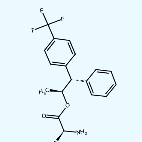 C[C@H](N)C(=O)O[C@@H](C)[C@@H](c1ccccc1)c1ccc(C(F)(F)F)cc1